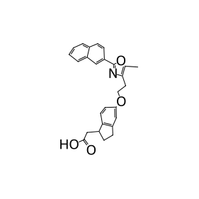 Cc1oc(-c2ccc3ccccc3c2)nc1CCOc1ccc2c(c1)CCC2CC(=O)O